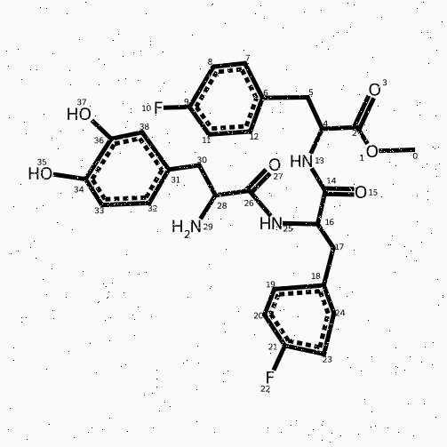 COC(=O)C(Cc1ccc(F)cc1)NC(=O)C(Cc1ccc(F)cc1)NC(=O)C(N)Cc1ccc(O)c(O)c1